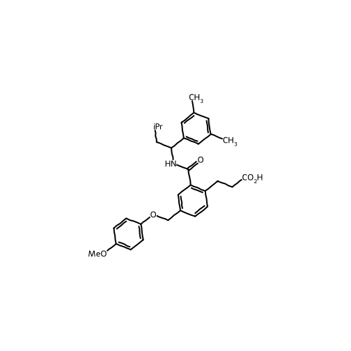 COc1ccc(OCc2ccc(CCC(=O)O)c(C(=O)NC(CC(C)C)c3cc(C)cc(C)c3)c2)cc1